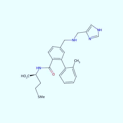 CSCC[C@H](NC(=O)c1ccc(CNCc2c[nH]cn2)cc1-c1ccccc1C)C(=O)O